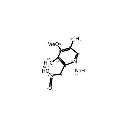 COc1c(C)cnc(CS(=O)O)c1C.[NaH]